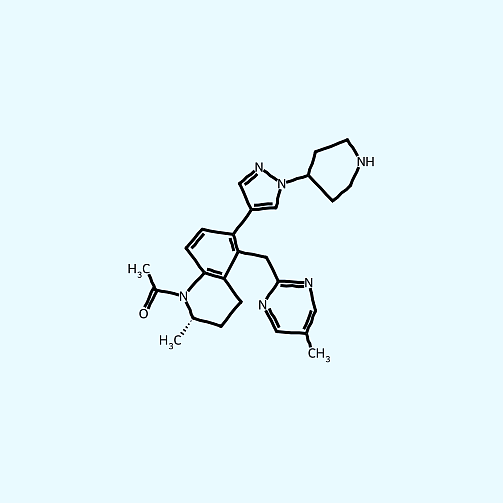 CC(=O)N1c2ccc(-c3cnn(C4CCNCC4)c3)c(Cc3ncc(C)cn3)c2CC[C@@H]1C